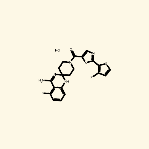 Cl.NC1=NC2(CCN(C(=O)c3cnc(-c4sccc4Br)s3)CC2)Nc2cccc(F)c21